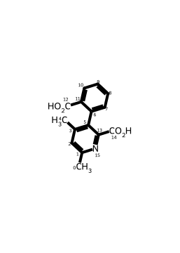 Cc1cc(C)c(-c2ccccc2C(=O)O)c(C(=O)O)n1